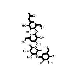 CC(=O)CC1OC(CO)[C@@H](OC2OC(CO)[C@@H](OC3OC(C)[C@@H](NC4C=C(CO)[C@@H](O)[C@H](O)[C@H]4O)[C@H](O)[C@H]3O)[C@H](O)[C@H]2O)[C@H](O)[C@H]1O